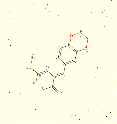 C=C(C)C(=C/c1ccc2c(c1)OCCO2)/N=C(\C)SCC